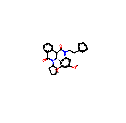 COc1ccc([C@H]2[C@H](C(=O)NCCc3ccccc3)c3ccccc3C(=O)N2C2CCCC2)c(OC)c1